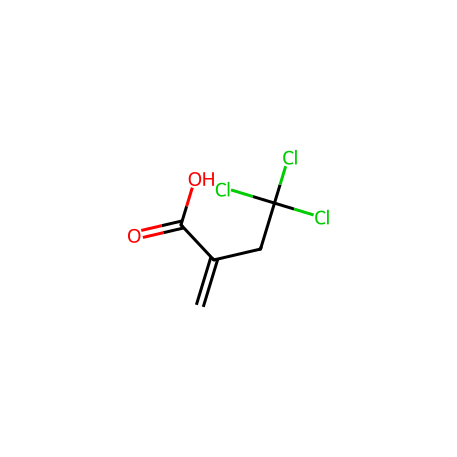 C=C(CC(Cl)(Cl)Cl)C(=O)O